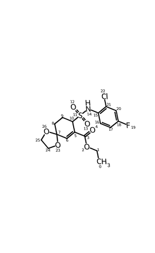 CCOC(=O)C1=CC2(CCC1S(=O)(=O)Nc1ccc(F)cc1Cl)OCCO2